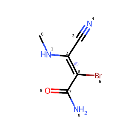 CN/C(C#N)=C(/Br)C(N)=O